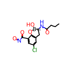 CCCC(=O)N[C@H]1Cc2cc(Cl)cc(C(=O)N=O)c2OB1O